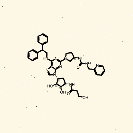 O=C(CCO)N[C@H]1C[C@@H](n2cnc3c(NCC(c4ccccc4)c4ccccc4)nc(N4CC[C@@H](NC(=O)NCc5ccccn5)C4)nc32)[C@H](O)[C@@H]1O